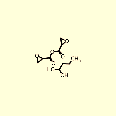 CCCC(O)O.O=C(OC(=O)C1CO1)C1CO1